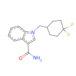 NC(=O)c1cn(CC2CCC(F)(F)CC2)c2ccccc12